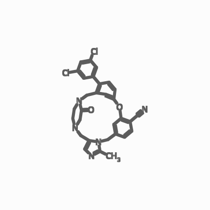 Cc1ncc2n1Cc1ccc(C#N)c(c1)Oc1ccc(-c3cc(Cl)cc(Cl)c3)c(c1)CN1CCN(CC1=O)C2